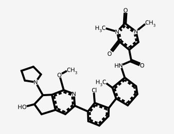 COc1nc(-c2cccc(-c3cccc(NC(=O)c4cn(C)c(=O)n(C)c4=O)c3C)c2Cl)cc2c1C(N1CCCC1)C(O)C2